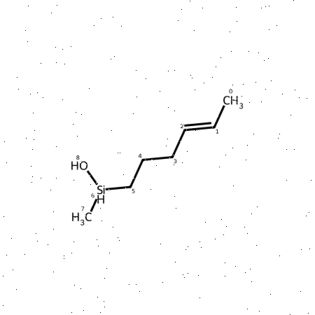 CC=CCCC[SiH](C)O